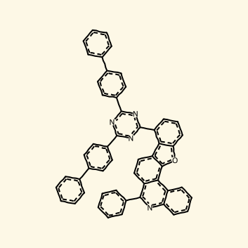 c1ccc(-c2ccc(-c3nc(-c4ccc(-c5ccccc5)cc4)nc(-c4cccc5oc6c(ccc7c(-c8ccccc8)nc8ccccc8c76)c45)n3)cc2)cc1